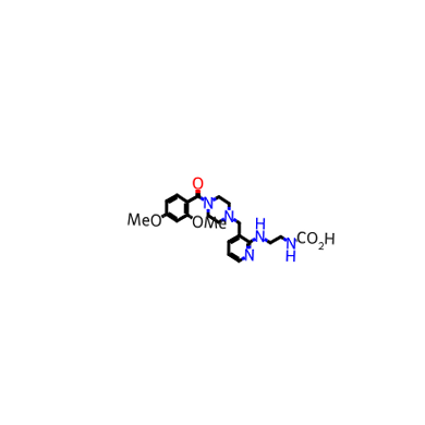 COc1ccc(C(=O)N2CCN(Cc3cccnc3NCCNC(=O)O)CC2)c(OC)c1